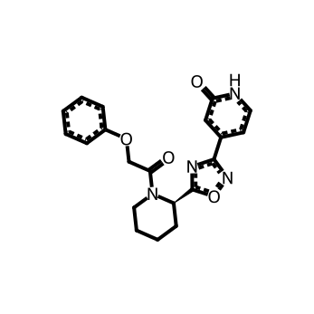 O=C(COc1ccccc1)N1CCCC[C@@H]1c1nc(-c2cc[nH]c(=O)c2)no1